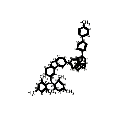 Cc1ccc(-c2ccc(C34CC5CC6(CC6(c6ccc(-c7ccc8sc9ccc(B(c%10c(C)cc(C)cc%10C)c%10c(C)cc(C)cc%10C)cc9c8c7)cc6)C3)C5C4)cc2)cc1